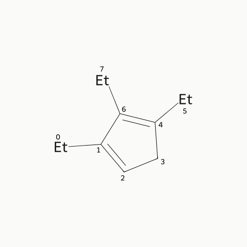 CCC1=CCC(CC)=C1CC